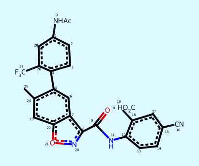 CC(=O)Nc1ccc(-c2cc3c(C(=O)Nc4ccc(C#N)cc4C(=O)O)noc3cc2C)c(C(F)(F)F)c1